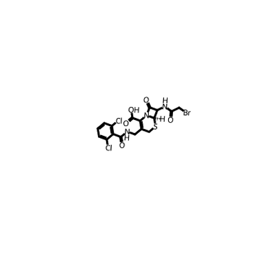 O=C(CBr)NC1C(=O)N2C(C(=O)O)=C(CNC(=O)c3c(Cl)cccc3Cl)CS[C@H]12